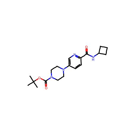 CC(C)(C)OC(=O)N1CCN(c2ccc(C(=O)NC3CCC3)nc2)CC1